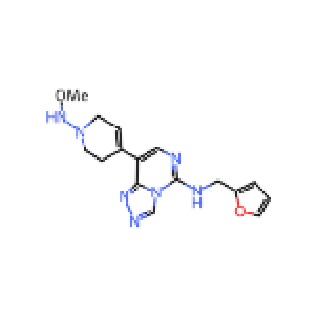 CONN1CC=C(c2cnc(NCc3ccco3)n3cnnc23)CC1